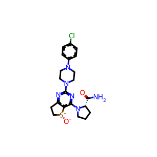 NC(=O)[C@@H]1CCCN1c1nc(N2CCN(c3ccc(Cl)cc3)CC2)nc2c1[S+]([O-])CC2